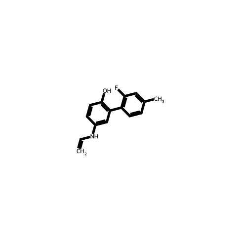 C=CNc1ccc(O)c(-c2ccc(C)cc2F)c1